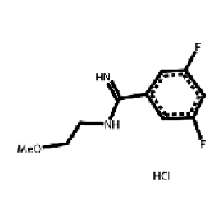 COCCNC(=N)c1cc(F)cc(F)c1.Cl